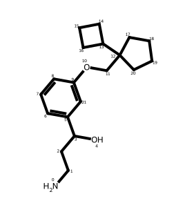 NCCC(O)c1cccc(OCC2(C3CCC3)CCCC2)c1